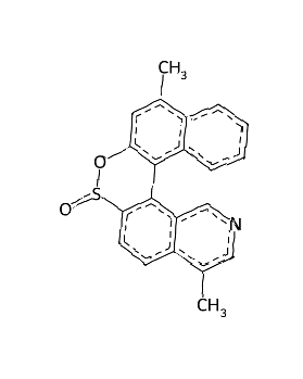 Cc1cc2c(c3ccccc13)-c1c(ccc3c(C)cncc13)S(=O)O2